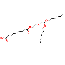 CCCCCCOC(COCCOC(=O)CCCCCCCC(=O)O)OCCCCCC